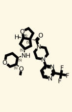 CO[C@@H]1COCC[C@@H]1N[C@@H]1C[C@H]2OCC[C@@]2(C(=O)N2CCN(c3ccnc(C(F)(F)F)n3)CC2)C1